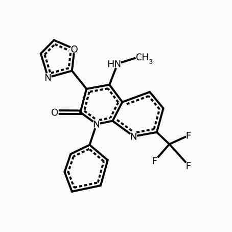 CNc1c(-c2ncco2)c(=O)n(-c2ccccc2)c2nc(C(F)(F)F)ccc12